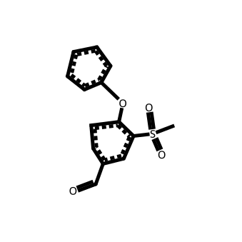 CS(=O)(=O)c1cc(C=O)ccc1Oc1ccccc1